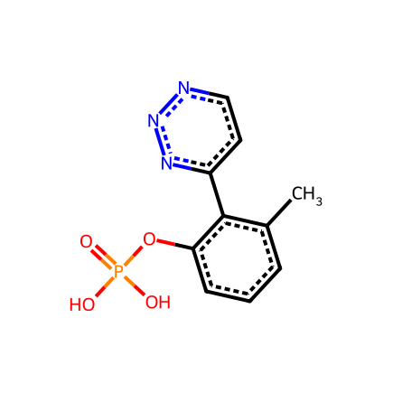 Cc1cccc(OP(=O)(O)O)c1-c1ccnnn1